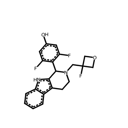 Oc1cc(F)c(C2c3[nH]c4ccccc4c3CCN2CC2(F)COC2)c(F)c1